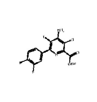 COC(=O)c1nc(-c2ccc(I)c(F)c2)c(F)c(N)c1Cl